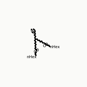 CCCCCC/C=C/COC(=O)CCCCCCCC(CCCCCCCC(=O)OC/C=C/CCCCCC)CCCCN1CCCN(C)CC1